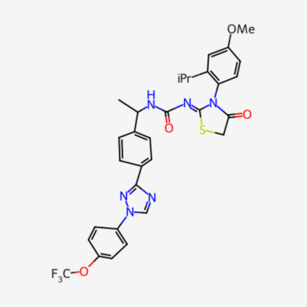 COc1ccc(N2C(=O)CS/C2=N\C(=O)NC(C)c2ccc(-c3ncn(-c4ccc(OC(F)(F)F)cc4)n3)cc2)c(C(C)C)c1